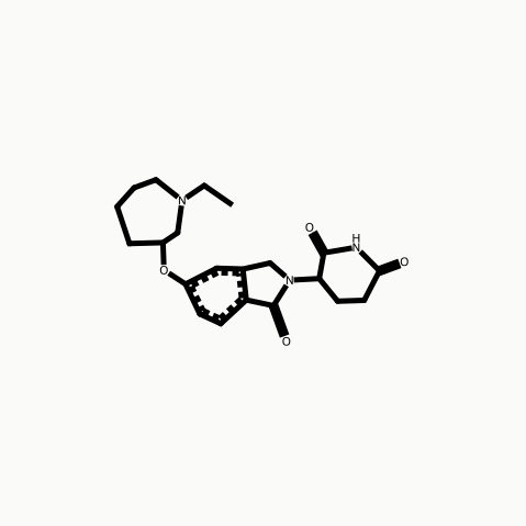 CCN1CCCCC(Oc2ccc3c(c2)CN(C2CCC(=O)NC2=O)C3=O)C1